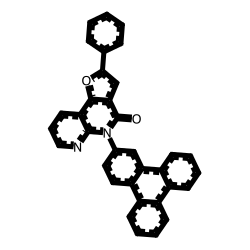 O=c1c2cc(-c3ccccc3)oc2c2cccnc2n1-c1ccc2c3ccccc3c3ccccc3c2c1